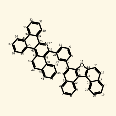 c1cc(-c2cc3ccccc3c3c2oc2ccc4ccccc4c23)cc(-c2nc3c4ccccc4c4ccccc4c3c3ccc4ccccc4c23)c1